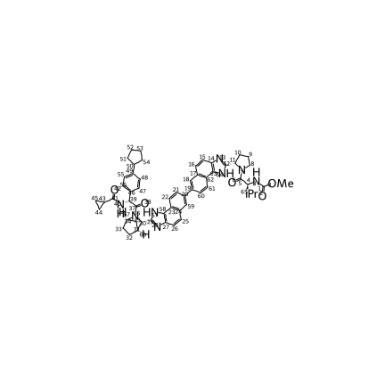 COC(=O)N[C@H](C(=O)N1CCC[C@H]1c1nc2ccc3cc(-c4ccc5c(ccc6nc([C@@H]7[C@H]8CC[C@H](C8)N7C(=O)[C@H](NC(=O)C7CC7)c7ccc(C8CCCC8)cc7)[nH]c65)c4)ccc3c2[nH]1)C(C)C